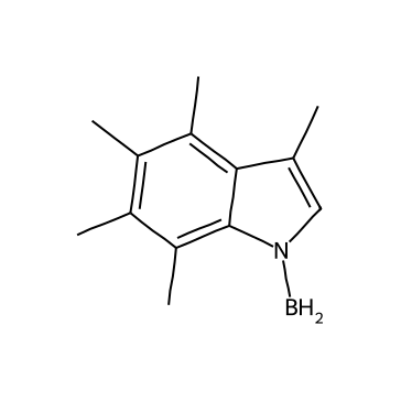 Bn1cc(C)c2c(C)c(C)c(C)c(C)c21